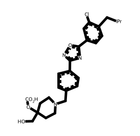 CC(C)Cc1ccc(-c2nc(-c3ccc(CN4CCC(CO)(OC(=O)O)CC4)cc3)no2)cc1Cl